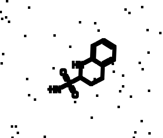 [NH]S(=O)(=O)C1CCc2ccccc2N1